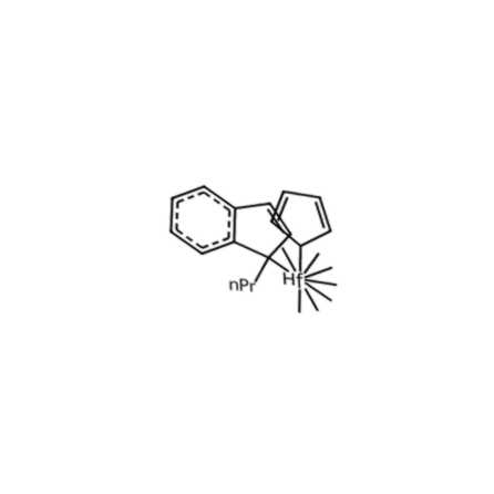 CCC[C]1([Hf]([CH3])([CH3])([CH3])([CH3])([CH3])([CH3])([CH3])[CH]2C=CC=C2)C=Cc2ccccc21